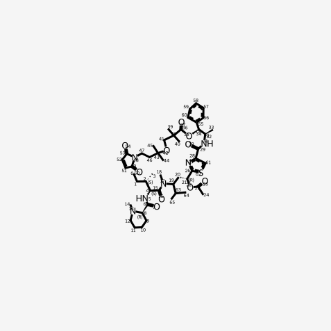 CC[C@H](C)[C@H](NC(=O)[C@H]1CCCCN1C)C(=O)N(C)C(C[C@@H](OC(C)=O)c1nc(C(=O)N[C@H](C)[C@@H](OC(=O)C(C)(C)COC(C)(C)CCN2C(=O)C=CC2=O)c2ccccc2)cs1)C(C)C